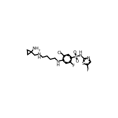 NC1(CNCCCCNc2cc(F)c(S(=O)(=O)Nc3ncc(F)s3)cc2Cl)CC1